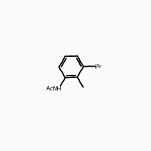 CC(=O)Nc1cccc(C(C)C)c1C